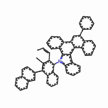 C/C=C\c1c(C)c(-c2ccc3ccccc3c2)c2ccccc2c1-n1c2ccccc2c2c3c4ccccc4c(-c4ccccc4)cc3c3ccccc3c21